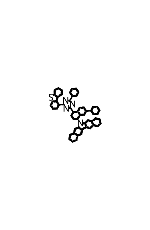 c1ccc(-c2ccc3c(-c4nc(-c5ccccc5)nc(-c5cccc6sc7ccccc7c56)n4)ccc(-n4c5cc6ccccc6cc5c5cc6ccccc6cc54)c3c2)cc1